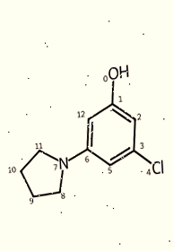 Oc1cc(Cl)cc(N2CCCC2)c1